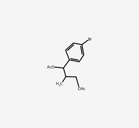 CC(=O)OCC(C)C(OC(C)=O)c1ccc(Br)cc1